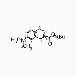 CN(C)c1ccc2c(c1)CN(C(=O)OC(C)(C)C)CC2